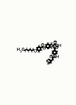 CCCCCCCOc1ccc(C(=O)Oc2ccc(C[C@H](NC(=O)c3ccc(NC(=O)Cc4ccsc4)cc3)C(=O)O)cc2)cc1